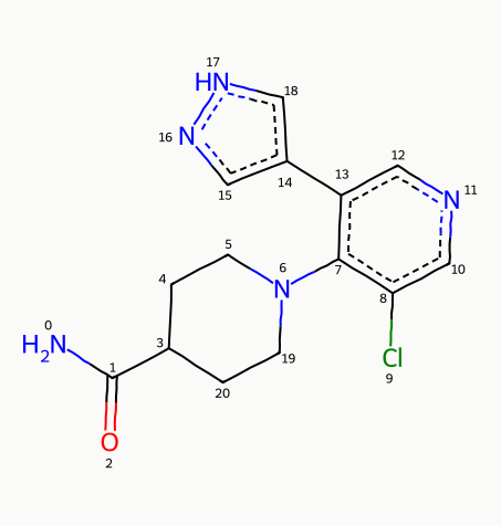 NC(=O)C1CCN(c2c(Cl)cncc2-c2cn[nH]c2)CC1